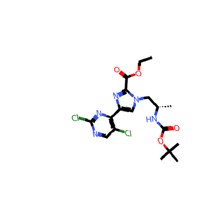 CCOC(=O)c1nc(-c2nc(Cl)ncc2Cl)cn1C[C@H](C)NC(=O)OC(C)(C)C